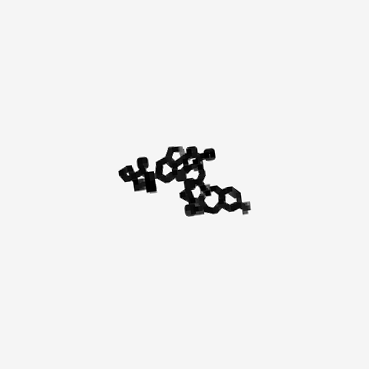 NC1(C(=O)Nc2ccc3c(c2)CC[C@@]32OC(=O)N(CC(=O)N3Cc4ccc(F)cc4CC[C@H]3C3(O)CC3)C2=O)CCC1